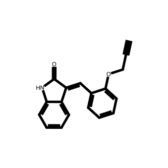 C#CCOc1ccccc1/C=C1/C(=O)Nc2ccccc21